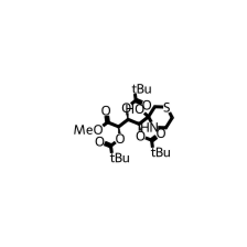 COC(=O)[C@H](OC(=O)C(C)(C)C)[C@@H](OC(=O)C(C)(C)C)[C@H](OC(=O)C(C)(C)C)C1(O)CSCCN1